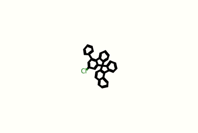 Clc1cc(-c2ccccc2)c2c(c1)C1(c3ccccc3-2)c2ccccc2-c2c1ccc1ccccc21